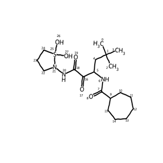 CC(C)(C)CC(NC(=O)C1CCCCCC1)C(=O)C(=O)NN1CCCS1(O)O